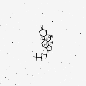 CC(OC(=O)C(C)(C)C)[C@H]1CC[C@H]2[C@@H]3C=CC4=CC(=O)CC[C@]4(CO)[C@H]3CC[C@]12C